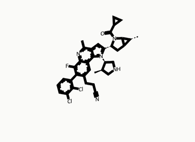 Cc1nc2c(F)c(-c3cccc(Cl)c3Cl)c(CCC#N)cc2c2c1cc([C@H]1CC3C([C@@H]3C)N1C(=O)C1CC1)n2[C@@H]1CNC[C@H]1C